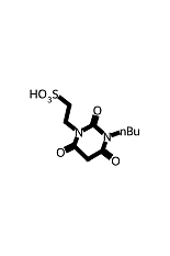 CCCCN1C(=O)CC(=O)N(CCS(=O)(=O)O)C1=O